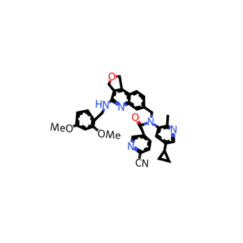 COc1ccc(CNc2nc3cc(CN(C(=O)c4ccc(C#N)nc4)c4cc(C5CC5)cnc4C)ccc3c3c2COC3)c(OC)c1